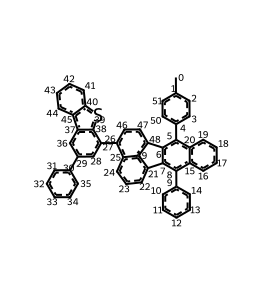 Cc1ccc(-c2c3c(c(-c4ccccc4)c4ccccc24)-c2cccc4c(-c5cc(-c6ccccc6)cc6c5sc5ccccc56)ccc-3c24)cc1